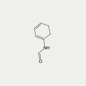 O=CNC1=CC=CC[CH]1